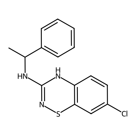 CC(NC1=NSc2cc(Cl)ccc2N1)c1ccccc1